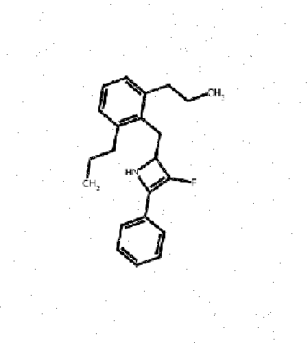 CCCc1cccc(CCC)c1CC1NC(c2ccccc2)=C1F